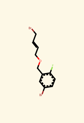 Fc1ccc(Br)cc1COC/C=C/CBr